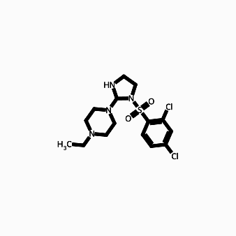 CCN1CCN(C2NCCN2S(=O)(=O)c2ccc(Cl)cc2Cl)CC1